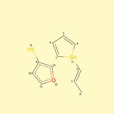 CC=C[SH]1C=CC=C1.Sc1ccoc1